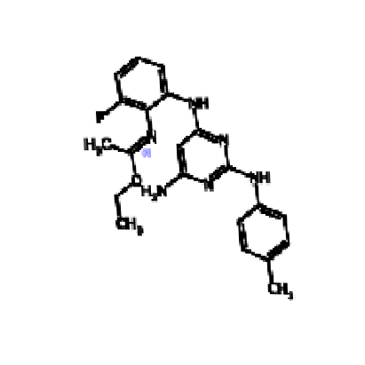 CCO/C(C)=N/c1c(F)cccc1Nc1cc(N)nc(Nc2ccc(C)cc2)n1